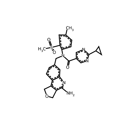 Cc1ccc(N(Cc2ccc3c4c(c(N)nc3c2)COC4)C(=O)c2cnc(C3CC3)nc2)c(S(C)(=O)=O)c1